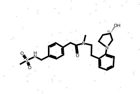 CN(CCc1ccccc1N1CC[C@H](O)C1)C(=O)Cc1ccc(CNS(C)(=O)=O)cc1